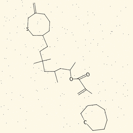 C1CCCCCCC1.C=C1CCCC(CCC(C)(C)CC(C)CC(C)OC(=O)C(=C)C)CSC1